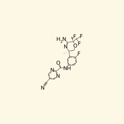 C[C@@]1(c2cc(NC(=O)c3ncc(C#N)cn3)ccc2F)CO[C@@](C)(C(F)(F)F)C(N)=N1